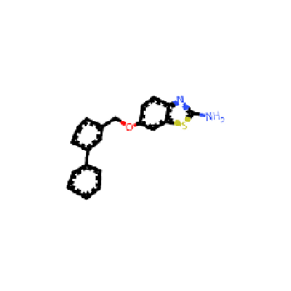 Nc1nc2ccc(OCc3cccc(-c4ccccc4)c3)cc2s1